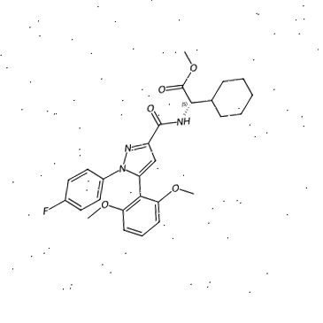 COC(=O)[C@@H](NC(=O)c1cc(-c2c(OC)cccc2OC)n(-c2ccc(F)cc2)n1)C1CCCCC1